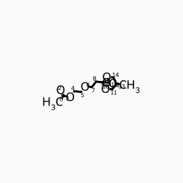 CC(=O)OCCOCCC12OCC(C)(CO1)CO2